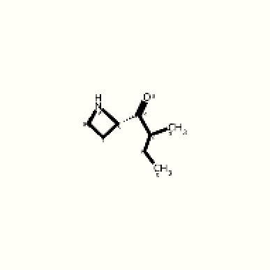 CCC(C)C(=O)[C@@H]1CCN1